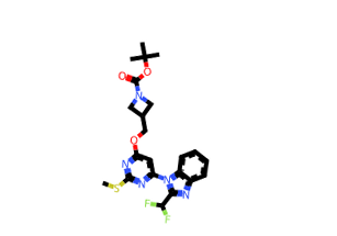 CSc1nc(OCC2CN(C(=O)OC(C)(C)C)C2)cc(-n2c(C(F)F)nc3ccccc32)n1